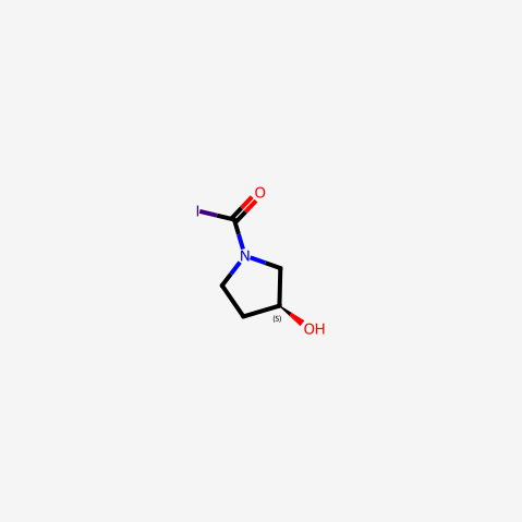 O=C(I)N1CC[C@H](O)C1